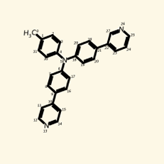 Cc1ccc(N(c2ccc(-c3ccncc3)cc2)c2ccc(-c3cccnc3)cc2)cc1